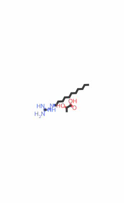 CC(O)C(=O)O.CCCCCCCCCC/C=N/NC(=N)N